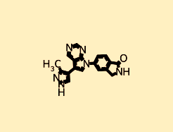 Cc1n[nH]cc1-c1cn(-c2ccc3c(c2)CNC3=O)c2ncncc12